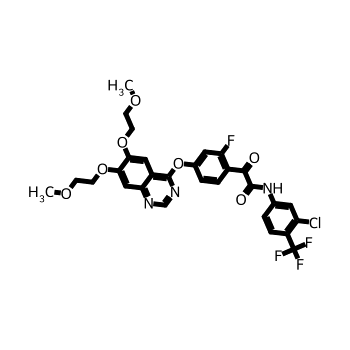 COCCOc1cc2ncnc(Oc3ccc(C(=O)C(=O)Nc4ccc(C(F)(F)F)c(Cl)c4)c(F)c3)c2cc1OCCOC